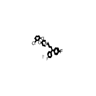 Fc1ccc(C(CCC[n+]2ccc(Oc3c(Cl)cccc3Cl)cc2)c2ccc(F)cc2)cc1.[I-]